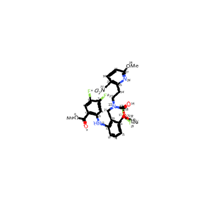 COC(=O)c1cc(F)c(F)cc1Nc1cccc(C(F)F)c1CN(CCc1nc(OC)ccc1[N+](=O)[O-])C(=O)OC(C)(C)C